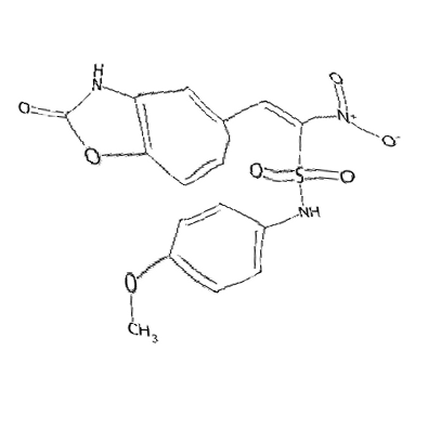 COc1ccc(NS(=O)(=O)C(=Cc2ccc3oc(=O)[nH]c3c2)[N+](=O)[O-])cc1